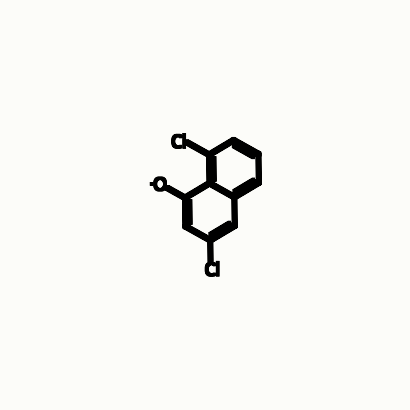 [O]c1cc(Cl)cc2cccc(Cl)c12